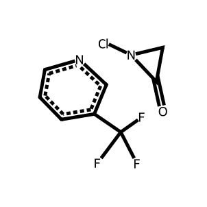 FC(F)(F)c1cccnc1.O=C1CN1Cl